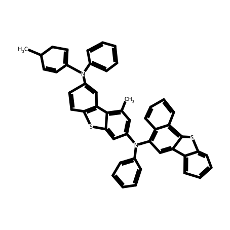 Cc1cc(N(c2ccccc2)c2cc3c4ccccc4sc3c3ccccc23)cc2sc3ccc(N(C4=CCC(C)C=C4)c4ccccc4)cc3c12